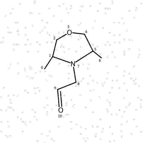 CC1COCC(C)N1CC=O